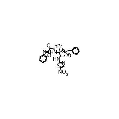 CCC[C@H](NC(=O)[C@H](CS(=O)(=O)Cc1ccccc1)Nc1ncc([N+](=O)[O-])s1)C(=O)c1nc2ccccc2o1